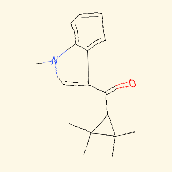 Cn1cc(C(=O)C2C(C)(C)C2(C)C)c2ccccc21